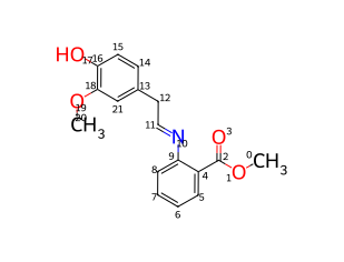 COC(=O)c1ccccc1N=CCc1ccc(O)c(OC)c1